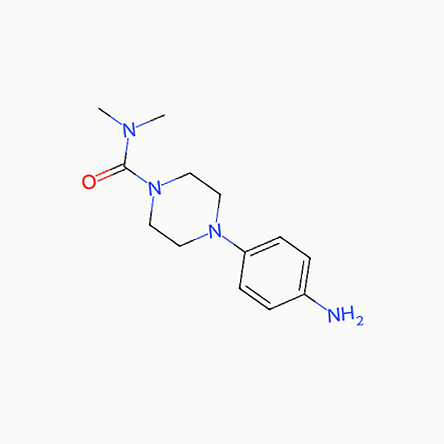 CN(C)C(=O)N1CCN(c2ccc(N)cc2)CC1